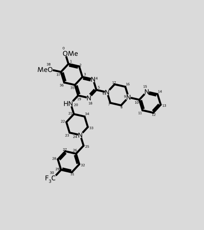 COc1cc2nc(N3CCN(c4ccccn4)CC3)nc(NC3CCN(Cc4ccc(C(F)(F)F)cc4)CC3)c2cc1OC